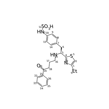 CCc1csc([C@H](Cc2ccc(NS(=O)(=O)O)cc2)NCCCC(=O)c2ccccc2)n1